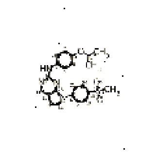 CC(C)Oc1ccc(Nc2ncc3ccn(-c4ccc(S(C)(=O)=O)cc4)c3n2)cc1